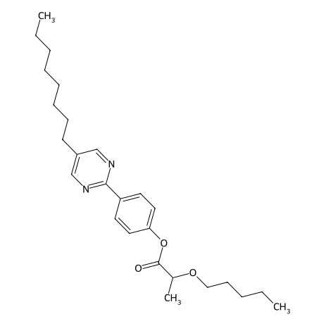 CCCCCCCCc1cnc(-c2ccc(OC(=O)C(C)OCCCCC)cc2)nc1